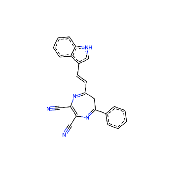 N#CC1=C(C#N)N=C(c2ccccc2)CC(C=Cc2c[nH]c3ccccc23)=N1